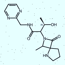 CC1N(C(C(=O)NCc2ncccn2)[C@@H](C)O)C(=O)C12CCCN2